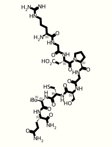 CC[C@H](C)[C@H](NC(=O)[C@H](CS)NC(=O)[C@H](CO)NC(=O)CNC(=O)[C@@H]1CCCN1C(=O)[C@H](CC(=O)O)NC(=O)CNC(=O)[C@@H](N)CCCNC(=N)N)C(=O)N[C@@H](CCC(N)=O)C(N)=O